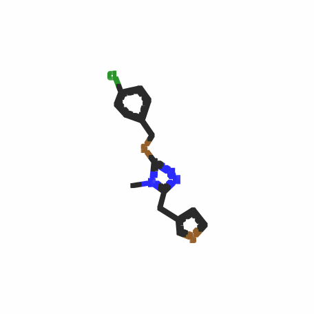 Cn1c(Cc2ccsc2)nnc1SCc1ccc(Cl)cc1